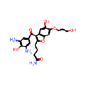 NC(=O)CCCc1oc2cc(OCCCO)c(O)cc2c1C(=O)c1cc(N)c(O)c(N)c1